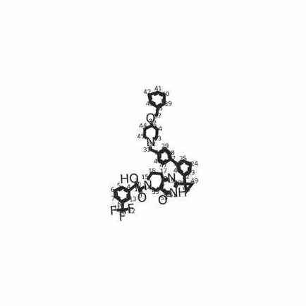 O=C([C@H](O)c1cccc(C(F)(F)F)c1)N1CCCc2nc(C3(c4cccc(-c5ccc(CN6CCC(OCc7ccccc7)CC6)cc5)c4)CC3)[nH]c(=O)c2C1